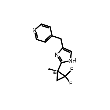 C[C@]1(c2nc(Cc3ccncc3)c[nH]2)CC1(F)F